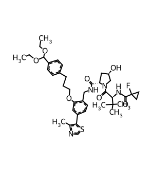 CCOC(OCC)c1ccc(CCCOc2cc(-c3scnc3C)ccc2CNC(=O)[C@@H]2C[C@@H](O)CN2C(=O)[C@@H](NC(=O)C2(F)CC2)C(C)(C)C)cc1